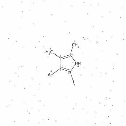 CC(=O)c1c(I)[nH]c(C)c1C